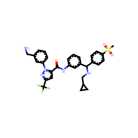 CS(=O)(=O)c1ccc(C(NCC2CC2)c2cccc(NC(=O)c3cc(C(F)(F)F)nn3-c3cccc(CN)c3)c2)cc1